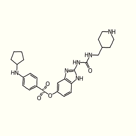 O=C(NCC1CCNCC1)Nc1nc2cc(OS(=O)(=O)c3ccc(NC4CCCC4)cc3)ccc2[nH]1